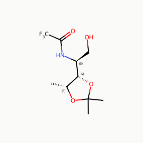 C[C@H]1OC(C)(C)O[C@H]1[C@H](CO)NC(=O)C(F)(F)F